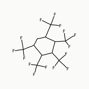 FC(F)(F)C1CC(C(F)(F)F)C(C(F)(F)F)C(C(F)(F)F)C1C(F)(F)F